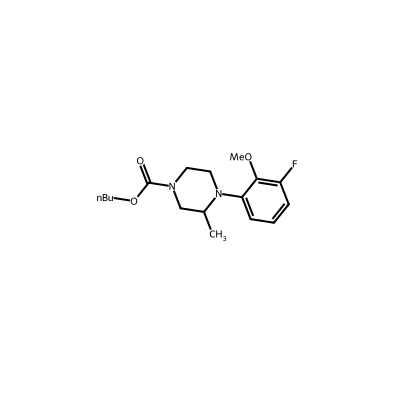 CCCCOC(=O)N1CCN(c2cccc(F)c2OC)C(C)C1